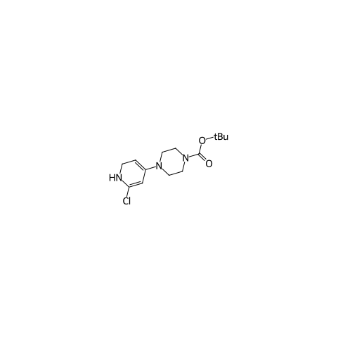 CC(C)(C)OC(=O)N1CCN(C2=CCNC(Cl)=C2)CC1